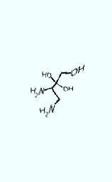 NCC(N)C(O)(O)CO